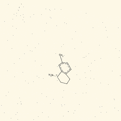 Cc1ccc2c(c1)[C@@H](N)CCC2